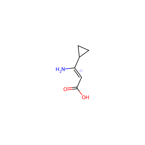 N/C(=C\C(=O)O)C1CC1